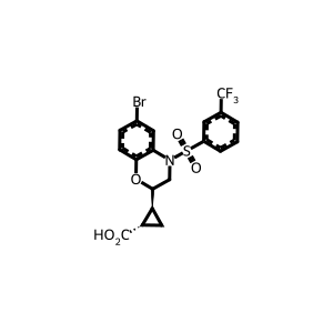 O=C(O)[C@H]1C[C@@H]1C1CN(S(=O)(=O)c2cccc(C(F)(F)F)c2)c2cc(Br)ccc2O1